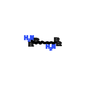 CCC(CC)C(N)CC=CCCC=CCC(CC)(CC)CN